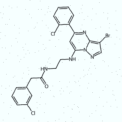 O=C(Cc1cccc(Cl)c1)NCCNc1cc(-c2ccccc2Cl)nc2c(Br)cnn12